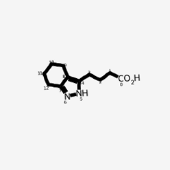 O=C(O)CCCc1[nH]nc2c1CCCC2